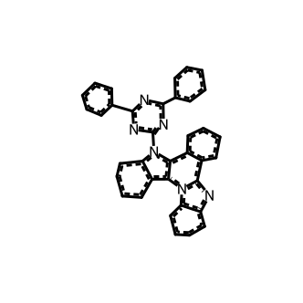 c1ccc(-c2nc(-c3ccccc3)nc(-n3c4ccccc4c4c3c3ccccc3c3nc5ccccc5n34)n2)cc1